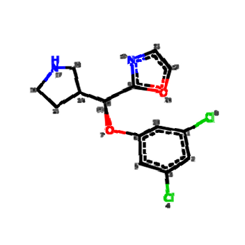 Clc1cc(Cl)cc(O[C@H](c2ncco2)C2CCNC2)c1